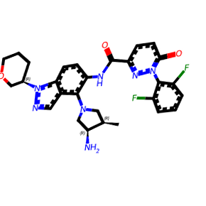 C[C@@H]1CN(c2c(NC(=O)c3ccc(=O)n(-c4c(F)cccc4F)n3)ccc3c2cnn3[C@@H]2CCCOC2)C[C@@H]1N